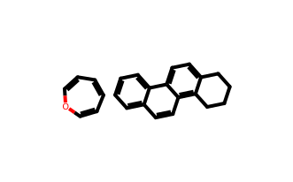 C1=CC=COC=C1.c1ccc2c(c1)ccc1c3c(ccc12)CCCC3